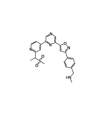 CNCc1ccc(-c2cc(-c3cncc(-c4ccnc(C(C)S(C)(=O)=O)c4)n3)on2)cc1